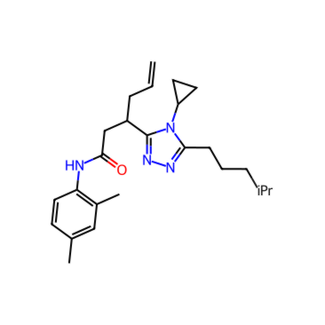 C=CCC(CC(=O)Nc1ccc(C)cc1C)c1nnc(CCCC(C)C)n1C1CC1